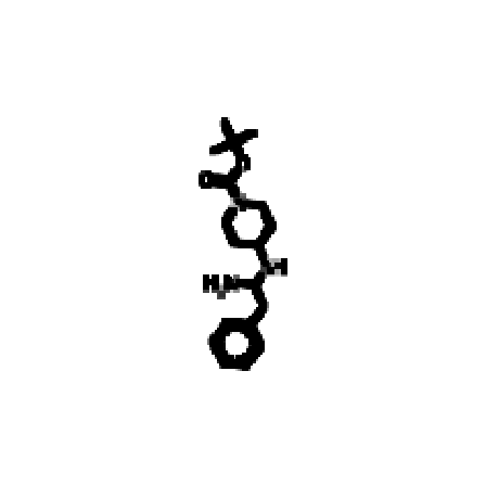 CC(C)(C)OC(=O)N1CCC(NC(N)Cc2ccccc2)CC1